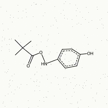 CC(C)(C)C(=O)ONc1ccc(O)cc1